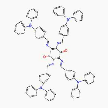 O=C1C(N=Cc2ccc(N(c3ccccc3)c3ccccc3)cc2)=C(N=Cc2ccc(N(c3ccccc3)c3ccccc3)cc2)C(=O)C(N=Cc2ccc(N(c3ccccc3)c3ccccc3)cc2)=C1N=Cc1ccc(N(c2ccccc2)c2ccccc2)cc1